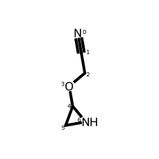 N#CCOC1CN1